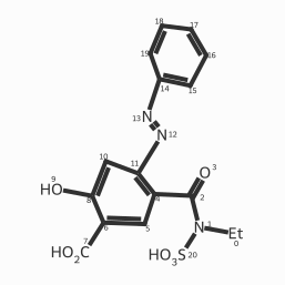 CCN(C(=O)c1cc(C(=O)O)c(O)cc1N=Nc1ccccc1)S(=O)(=O)O